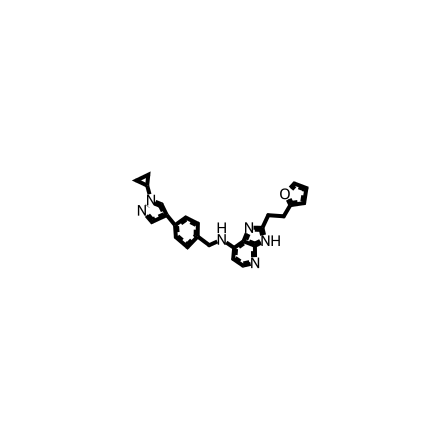 c1coc(CCc2nc3c(NCc4ccc(-c5cnn(C6CC6)c5)cc4)ccnc3[nH]2)c1